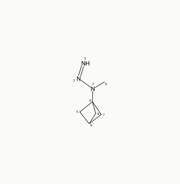 CN(N=N)C12CC(C1)C2